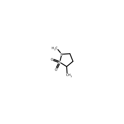 CC1CCN(C)S1(=O)=O